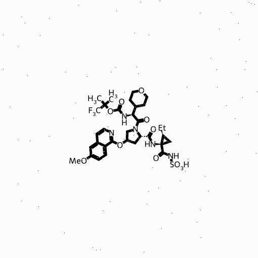 CC[C@@H]1C[C@]1(NC(=O)[C@@H]1CC(Oc2nccc3cc(OC)ccc23)CN1C(=O)[C@@H](NC(=O)OC(C)(C)C(F)(F)F)C1CCOCC1)C(=O)NS(=O)(=O)O